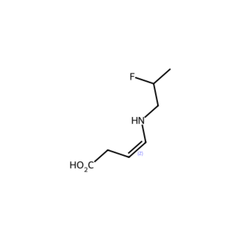 CC(F)CN/C=C\CC(=O)O